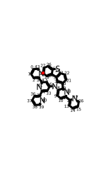 c1ccc(-c2cc(-n3c4ccc(-c5ccccn5)nc4c4ccc5sc6ccccc6c5c43)cc(-c3ccccn3)n2)nc1